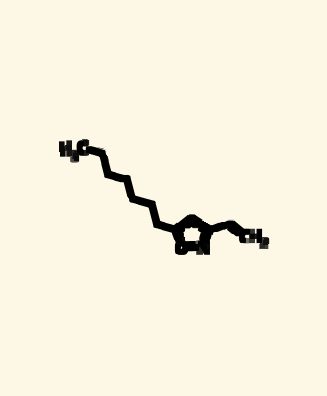 C=Cc1cc(CCCCCCC)on1